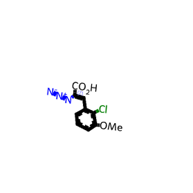 COc1cccc(/C=C(\N=[N+]=[N-])C(=O)O)c1Cl